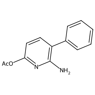 CC(=O)Oc1ccc(-c2ccccc2)c(N)n1